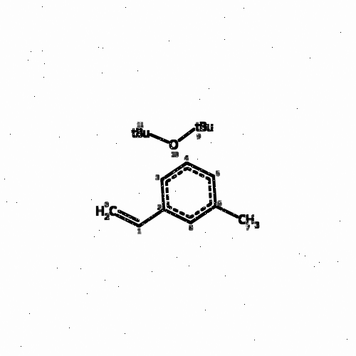 C=Cc1cccc(C)c1.CC(C)(C)OC(C)(C)C